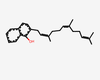 CC(C)=CCCC(C)=CCCC(C)=CCc1ccc2ccccc2c1O